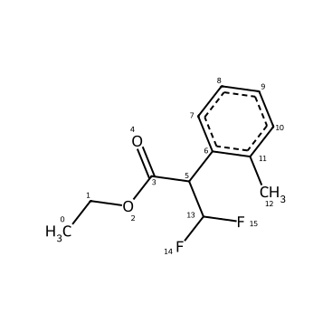 CCOC(=O)C(c1ccccc1C)C(F)F